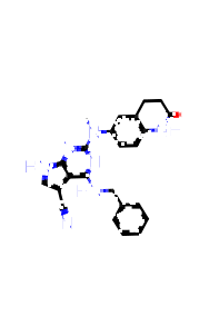 CN(c1ccc2c(c1)CCC(=O)N2)c1nc(NCc2ccccc2)c2c(C#N)c[nH]c2n1